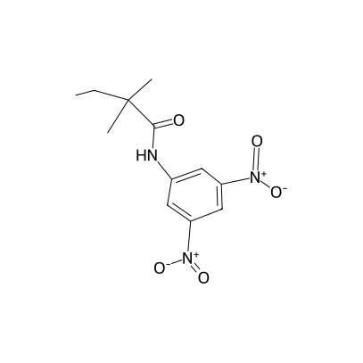 CCC(C)(C)C(=O)Nc1cc([N+](=O)[O-])cc([N+](=O)[O-])c1